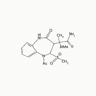 CNC(C)(C(N)=O)C1C(=O)Nc2ccccc2N(C(C)=O)C1S(C)(=O)=O